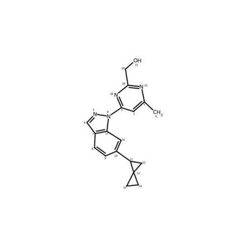 Cc1cc(-n2ncc3ccc(C4CC45CC5)cc32)nc(CO)n1